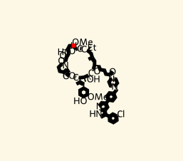 CC[C@@H]1CC[C@H]2O[C@@](O)(C(=O)C(=O)N3CCCC[C@H]3C(=O)OC[C@H](/C(C)=C/[C@@H]3CC[C@@H](O)[C@H](OC)C3)[C@H](C)[C@@H](O)CC(=O)[C@H](CCCCC(=O)N3CCN(Cc4ccc(-c5cnc6[nH]cc(-c7cccc(Cl)c7)c6c5)cc4)CC3)/C=C(\C)C1)[C@H](C)C[C@@H]2OC